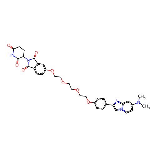 CN(C)c1ccn2cc(-c3ccc(OCCOCCOCCOc4ccc5c(c4)C(=O)N(C4CCC(=O)NC4=O)C5=O)cc3)nc2c1